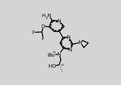 CC[C@H](C)N(C[C@H](C)O)c1cc(-c2cnc(N)c(OC(F)F)c2)nc(N2CCC2)n1